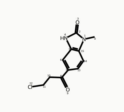 Cn1c(=O)[nH]c2cc(C(=O)CCCl)ccc21